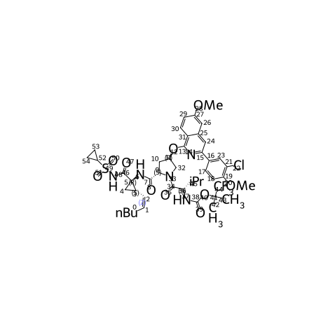 CCCC/C=C\[C@@H]1C[C@]1(NC(=O)[C@@H]1C[C@@H](Oc2nc(-c3ccc(OC)c(Cl)c3)cc3cc(OC)ccc23)CN1C(=O)[C@@H](NC(=O)OC(C)(C)C(F)(F)F)C(C)C)C(=O)NS(=O)(=O)C1CC1